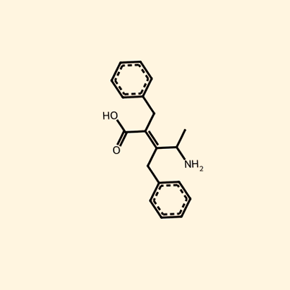 CC(N)/C(Cc1ccccc1)=C(\Cc1ccccc1)C(=O)O